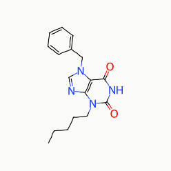 CCCCCn1c(=O)[nH]c(=O)c2c1ncn2Cc1ccccc1